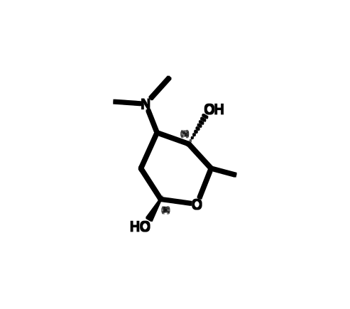 CC1O[C@@H](O)CC(N(C)C)[C@@H]1O